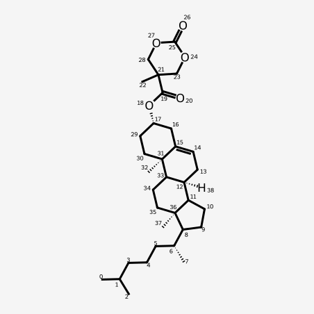 CC(C)CCC[C@@H](C)C1CCC2[C@@H]3CC=C4C[C@@H](OC(=O)C5(C)COC(=O)OC5)CC[C@]4(C)C3CC[C@@]21C